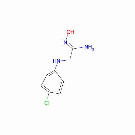 NC(CNc1ccc(Cl)cc1)=NO